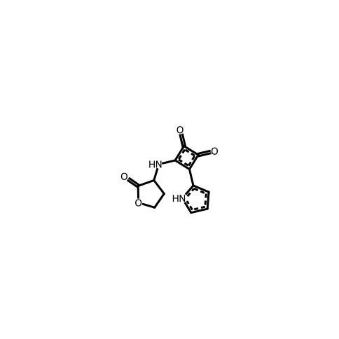 O=C1OCCC1Nc1c(-c2ccc[nH]2)c(=O)c1=O